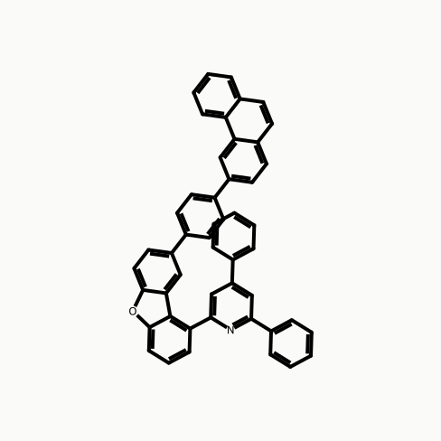 c1ccc(-c2cc(-c3ccccc3)nc(-c3cccc4oc5ccc(-c6ccc(-c7ccc8ccc9ccccc9c8c7)cc6)cc5c34)c2)cc1